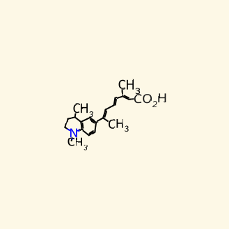 CC(C=CC=C(C)c1ccc2c(c1)C(C)CCN2C)=CC(=O)O